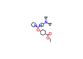 CCOC(=O)C1CCC(OC(N2CCCC2)N2CC(N(C3CC3)C3CC3)C2)CC1